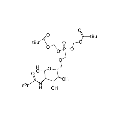 CCCC(=O)N[C@H]1C(O)O[C@H](COCP(=O)(OCOC(=O)C(C)(C)C)OCOC(=O)C(C)(C)C)[C@@H](O)[C@@H]1O